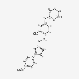 COc1ccc(-c2nc(COc3ccc(CC4CNCCO4)cc3Cl)no2)cc1